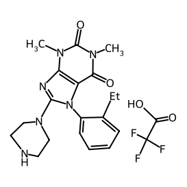 CCc1ccccc1-n1c(N2CCNCC2)nc2c1c(=O)n(C)c(=O)n2C.O=C(O)C(F)(F)F